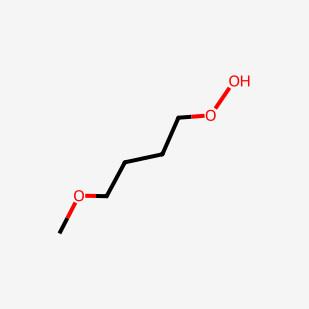 COCCCCOO